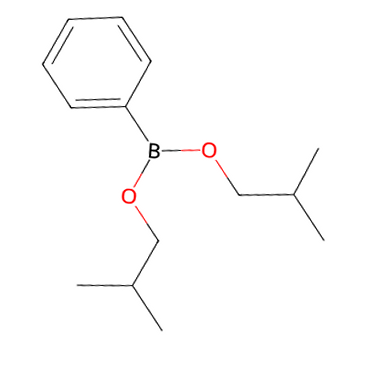 CC(C)COB(OCC(C)C)c1ccccc1